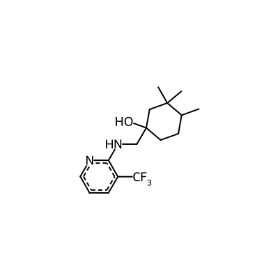 CC1CCC(O)(CNc2ncccc2C(F)(F)F)CC1(C)C